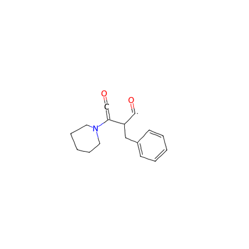 O=[C]C(Cc1ccccc1)C(=C=O)N1CCCCC1